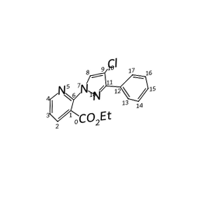 CCOC(=O)c1cccnc1-n1cc(Cl)c(-c2ccccc2)n1